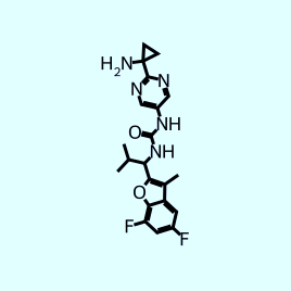 Cc1c(C(NC(=O)Nc2cnc(C3(N)CC3)nc2)C(C)C)oc2c(F)cc(F)cc12